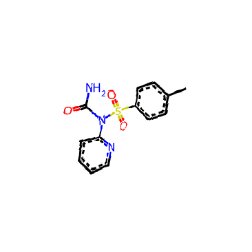 Cc1ccc(S(=O)(=O)N(C(N)=O)c2ccccn2)cc1